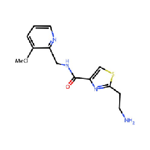 COc1cccnc1CNC(=O)c1csc(CCN)n1